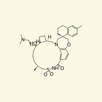 Cc1ccc2c(c1)CCC[C@]21COc2ccc3cc2N(C[C@@H]2CC[C@H]2[C@@](O)(CCN(C)C)CCC[C@H](C)[C@@H](C)S(=O)(=O)NC3=O)C1